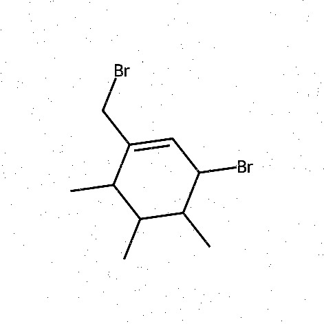 CC1C(CBr)=CC(Br)C(C)C1C